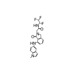 Cn1ccc2cc(Nc3cccc4c3C(=O)N(CC(=O)NC(F)C(F)F)C4)ccc21